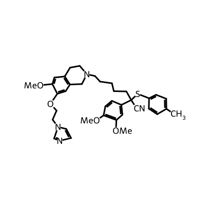 COc1ccc(C(C#N)(CCCCCN2CCc3cc(OC)c(OCCn4ccnc4)cc3C2)Sc2ccc(C)cc2)cc1OC